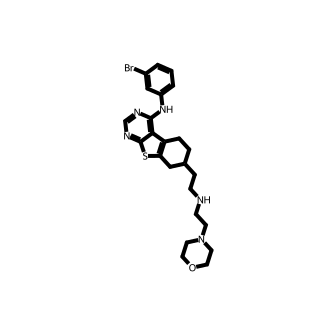 Brc1cccc(Nc2ncnc3sc4c(c23)CCC(CCNCCN2CCOCC2)C4)c1